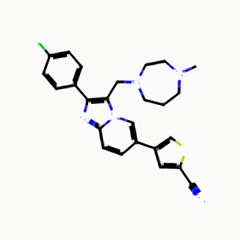 CN1CCCN(Cc2c(-c3ccc(Cl)cc3)nc3ccc(-c4csc(C#N)c4)cn23)CC1